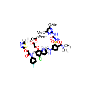 CC(C)N(C(=O)COc1nnc(C(F)(F)F)s1)c1ccc(F)cc1.CCCCCC(C)OC(=O)COc1ccc(Cl)c2cccnc12.COc1cc(OC)nc(NC(=O)NS(=O)(=O)c2cc(NC=O)ccc2C(=O)N(C)C)n1